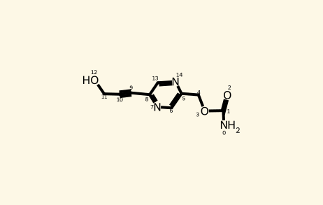 NC(=O)OCc1cnc(C#CCO)cn1